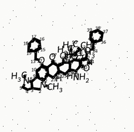 CN1CC2CCN(C)C2c2cc(OCc3ccccc3)c3c(c21)C[C@H]1C[C@H]2[C@H](N)c4onc(OCc5ccccc5)c4C(=O)[C@@]2(O[Si](C)(C)C(C)(C)C)C(O)=C1C3=O